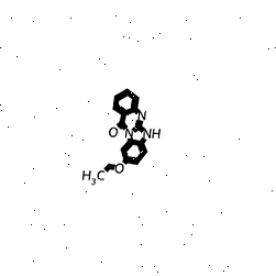 CCOc1ccc2[nH]c3nc4ccccc4c(=O)n3c2c1